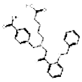 O=C(O)CCCCN(CC(=O)c1ccccc1OCc1ccccc1)Cc1ccc(C(=O)O)cc1